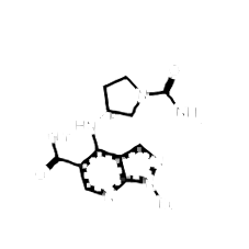 CCCC(=O)c1cnc2c(cnn2CC)c1N[C@@H]1CCN(C(N)=O)C1